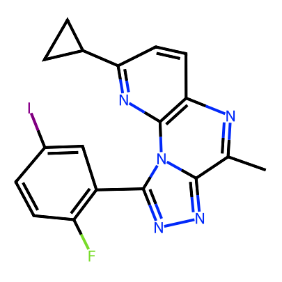 Cc1nc2ccc(C3CC3)nc2n2c(-c3cc(I)ccc3F)nnc12